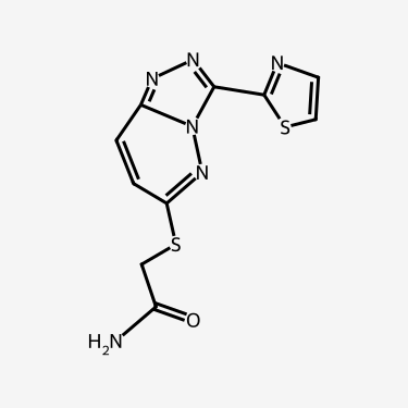 NC(=O)CSc1ccc2nnc(-c3nccs3)n2n1